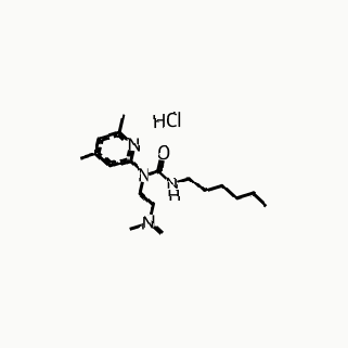 CCCCCCNC(=O)N(CCN(C)C)c1cc(C)cc(C)n1.Cl